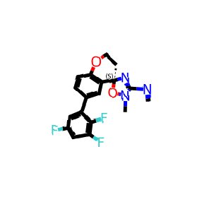 C=NC1=N[C@@]2(CCOc3ccc(-c4cc(F)cc(F)c4F)cc32)ON1C